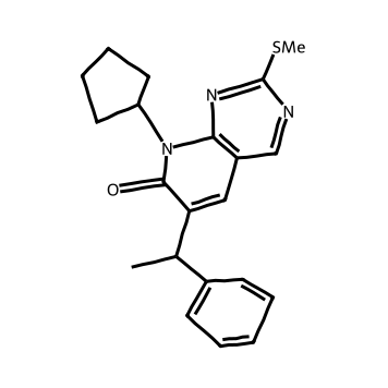 CSc1ncc2cc(C(C)c3ccccc3)c(=O)n(C3CCCC3)c2n1